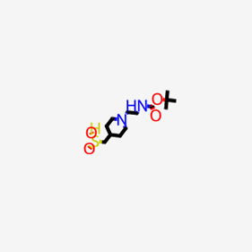 CC(C)(C)OC(=O)NCCN1CCC(C[SH](=O)=O)CC1